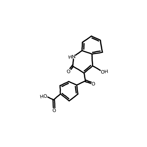 O=C(O)c1ccc(C(=O)c2c(O)c3ccccc3[nH]c2=O)cc1